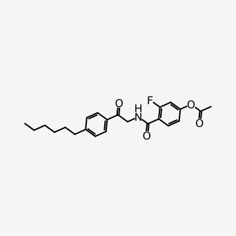 CCCCCCc1ccc(C(=O)CNC(=O)c2ccc(OC(C)=O)cc2F)cc1